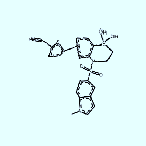 Cn1ccc2cc(S(=O)(=O)N3CCS(O)(O)c4ccc(-c5ccc(C#N)s5)cc43)ccc21